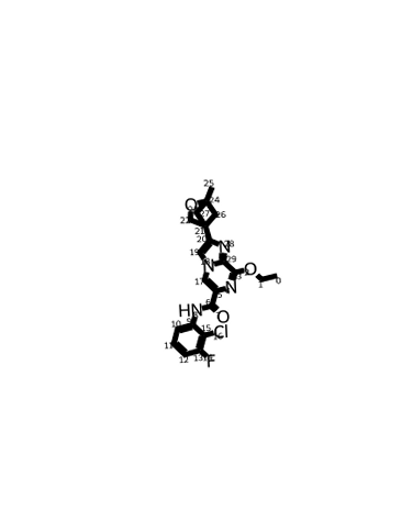 CCOc1nc(C(=O)Nc2cccc(F)c2Cl)cn2cc(C34COC(C)(C3)C4)nc12